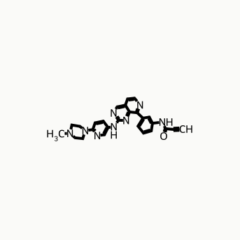 C#CC(=O)Nc1cccc(-c2nccc3cnc(Nc4ccc(N5CCN(C)CC5)nc4)nc23)c1